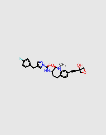 CN1C(=O)[C@H](NC(=O)n2cc(Cc3ccc(F)cc3)cn2)CCc2ccc(C#CC3(O)COC3)cc21